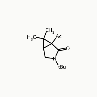 CC(=O)C12C(=O)N(C(C)(C)C)CC1C2(C)C